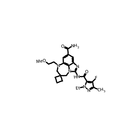 CCn1nc(C)c(F)c1C(=O)Nc1nc2cc(C(N)=O)cc3c2n1CC1(CCC1)CN3CCOC